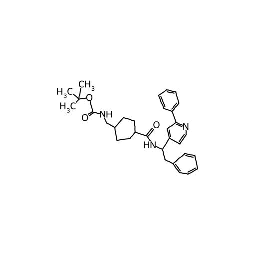 CC(C)(C)OC(=O)NCC1CCC(C(=O)NC(Cc2ccccc2)c2ccnc(-c3ccccc3)c2)CC1